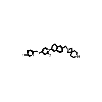 O=c1cc(OCc2ccc(Cl)cn2)ccn1C1=Cc2ccc(CN3CC4(CCNCC4)C3)cc2CC1